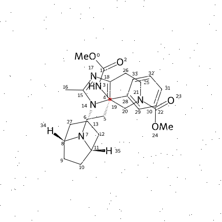 COC(=O)N[C@@H](CCN1[C@@H]2CC[C@H]1C[C@@H](n1c(C)nc3c1CN(C(=O)OC)CC3)C2)c1ccccc1